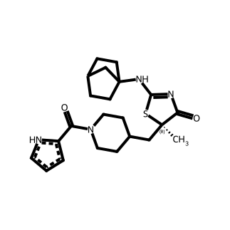 C[C@]1(CC2CCN(C(=O)c3ccc[nH]3)CC2)SC(NC23CCC(CC2)C3)=NC1=O